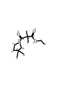 CCOC(=O)C(C)(C)C(=O)N1CCC(C)(C)C1